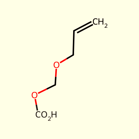 C=CCOCOC(=O)O